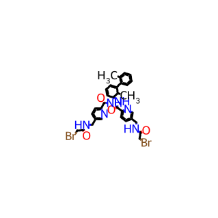 Cc1ccccc1C1=CC=CC(NC(=O)c2ccc(CNC(=O)CBr)cn2)(NC(=O)c2ccc(CNC(=O)CBr)cn2)C1C